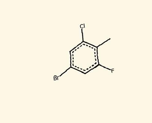 Cc1c(F)cc(Br)cc1Cl